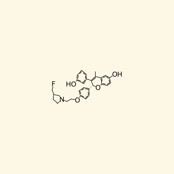 CC1=C(c2cccc(O)c2)[C@@H](c2ccc(OCCN3CCC(CF)C3)cc2)Oc2ccc(O)cc21